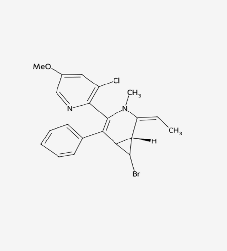 C/C=C1\[C@@H]2C(Br)C2C(c2ccccc2)=C(c2ncc(OC)cc2Cl)N1C